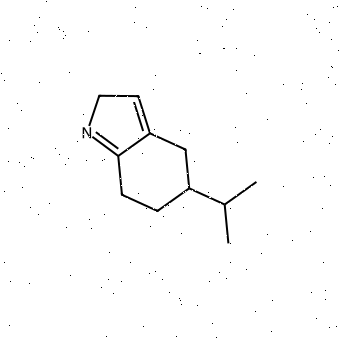 CC(C)C1CCC2=NCC=C2C1